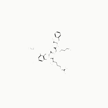 Cc1cc(O)cc(C)c1C[C@H](NC(=O)[C@H](N)CCCNC(=N)N)C(=O)N[C@@H](CCCCN)C(=O)N[C@@H](Cc1ccccc1)C(N)=O.Cl.Cl.Cl